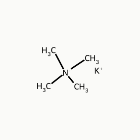 C[N+](C)(C)C.[K+]